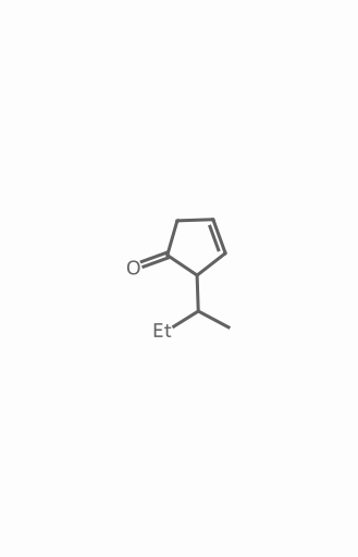 CCC(C)C1C=CCC1=O